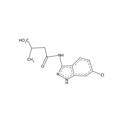 CC(CC(=O)Nc1n[nH]c2cc(Cl)ccc12)C(=O)O